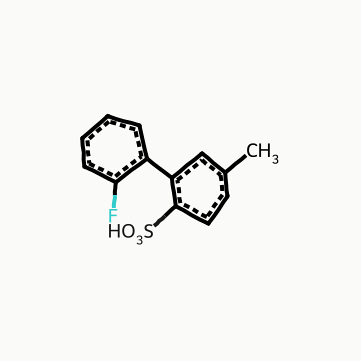 Cc1ccc(S(=O)(=O)O)c(-c2ccccc2F)c1